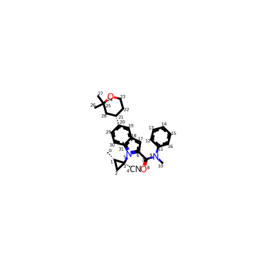 C[C@H]1C[C@]1(C#N)n1c(C(=O)N(C)c2ccccc2)cc2cc([C@H]3CCOC(C)(C)C3)ccc21